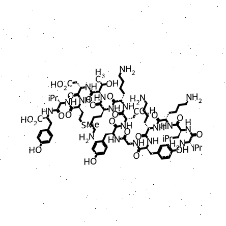 CSCC[C@H](NC(=O)[C@H](CC(=O)O)NC(=O)[C@@H](NC(=O)[C@H](CCCCN)NC(=O)[C@H](CCCCN)NC(=O)[C@H](CC(=O)O)NC(=O)[C@H](Cc1ccc(O)cc1)NC(=O)CNC(=O)[C@H](Cc1ccc(O)cc1)NC(=O)[C@H](CCCCN)NC(=O)[C@H](CCCCN)NC(=O)[C@H](CC(C)C)NC(=O)[C@@H](N)C(C)C)[C@@H](C)O)C(=O)N[C@H](C(=O)N[C@@H](Cc1ccc(O)cc1)C(=O)O)C(C)C